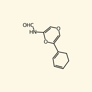 O=CNC1=COC=C(C2=CC=CCC2)O1